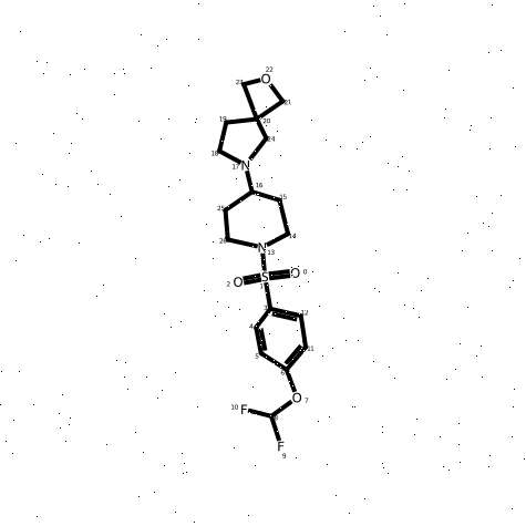 O=S(=O)(c1ccc(OC(F)F)cc1)N1CCC(N2CCC3(COC3)C2)CC1